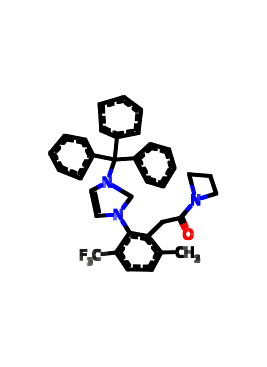 Cc1ccc(C(F)(F)F)c(N2C=CN(C(c3ccccc3)(c3ccccc3)c3ccccc3)C2)c1CC(=O)N1CCC1